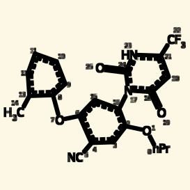 CCCOc1cc(C#N)c(Oc2ccccc2C)cc1-n1c(=O)cc(C(F)(F)F)[nH]c1=O